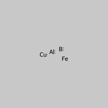 [Al].[B].[Cu].[Fe]